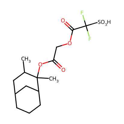 CC1CC2CCCC(C2)C1(C)OC(=O)COC(=O)C(F)(F)S(=O)(=O)O